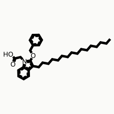 CCCCCCCCCCCCCCCCc1c(OCc2ccccc2)n(CC(=O)O)c2ccccc12